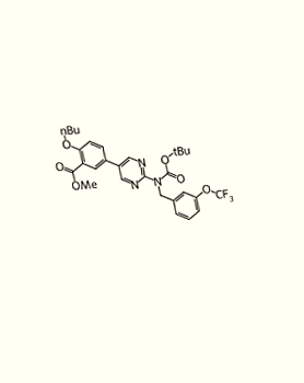 CCCCOc1ccc(-c2cnc(N(Cc3cccc(OC(F)(F)F)c3)C(=O)OC(C)(C)C)nc2)cc1C(=O)OC